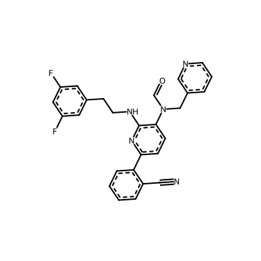 N#Cc1ccccc1-c1ccc(N(C=O)Cc2cccnc2)c(NCCc2cc(F)cc(F)c2)n1